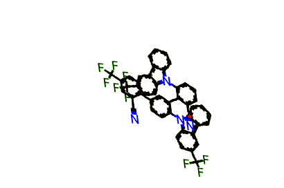 N#Cc1cc(C(F)(F)F)ccc1-c1ccc(-n2c3ccccc3c3cc(C(F)(F)F)ccc32)c(-c2c(C#N)cccc2-n2c3ccccc3c3cc(C(F)(F)F)ccc32)c1